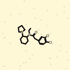 CCN(C(=O)Cc1ccc(Cl)c(Cl)c1)C1CCCCC1N1CCCC1